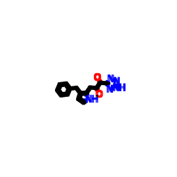 O=C(Cc1[nH]ccc1Cc1ccccc1)C(=O)c1nn[nH]n1